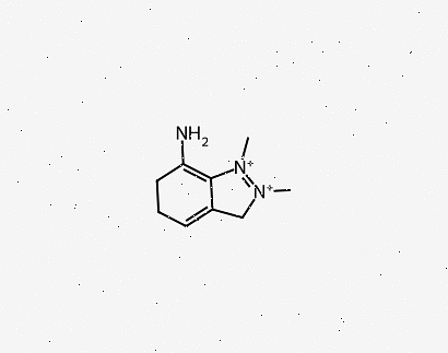 C[N+]1=[N+](C)C2=C(N)CCC=C2C1